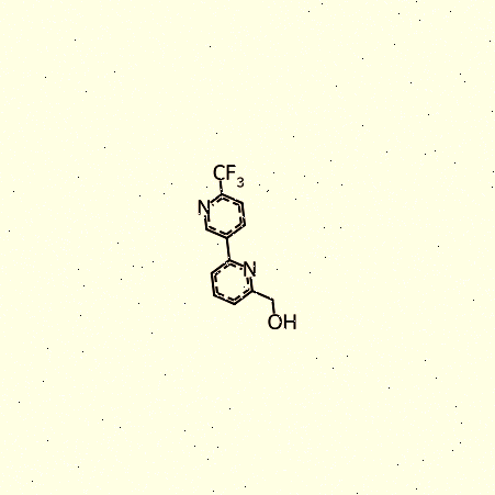 OCc1cccc(-c2ccc(C(F)(F)F)nc2)n1